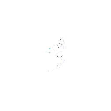 CCCCN1CC(Nc2cc(F)c([C@@H]3c4[nH]c5cc(F)ccc5c4C[C@@H](C)N3CC(F)(F)F)c(F)c2)C1